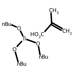 C=C(C)C(=O)O.CCCC[O][Ti]([O]CCCC)[O]CCCC